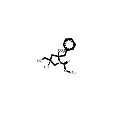 CC(C)(C)OC(=O)N1C[C@](O)(CO)C[C@@]1(Cc1ccccc1)C(=O)O